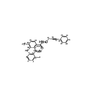 Cc1ccccc1N(Br)c1c(C(=O)NOCC#Cc2ccccc2)ccc(F)c1F